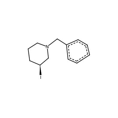 I[C@H]1CCCN(Cc2ccccc2)C1